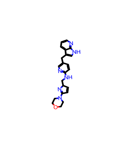 C1=CC(CNc2ccc(Cc3c[nH]c4ncccc34)cn2)N=C1N1CCOCC1